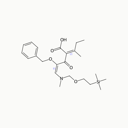 CC/C(C)=C(\C(=O)O)C(=O)/C(=C\N(C)COCC[Si](C)(C)C)OCc1ccccc1